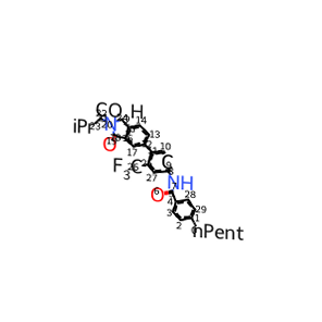 CCCCCc1ccc(C(=O)Nc2ccc(-c3ccc4c(c3)C(=O)N(C(C(=O)O)C(C)C)C4)c(C(F)(F)F)c2)cc1